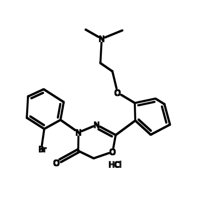 CN(C)CCOc1ccccc1C1=NN(c2ccccc2Br)C(=O)CO1.Cl